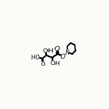 O=C(O)C(O)C(O)C(=O)ON1CCCCC1